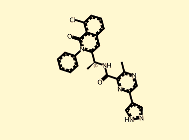 Cc1ncc(-c2cn[nH]c2)nc1C(=O)N[C@@H](C)c1cc2cccc(Cl)c2c(=O)n1-c1ccccc1